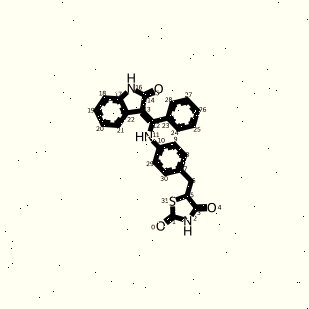 O=C1NC(=O)C(Cc2ccc(NC(=C3C(=O)Nc4ccccc43)c3ccccc3)cc2)S1